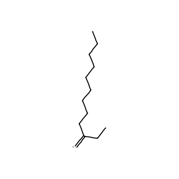 [CH]=C(CC)CCCCCCCCC